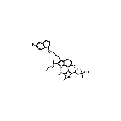 CCOC(=O)c1[nH]c2c(-c3c(C(O)CC(C)(C)O)nn(C)c3CC)c(Cl)ccc2c1CCCOc1cccc2cc(F)ccc12